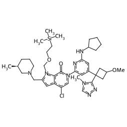 COC1CC(c2cc(NC3CCCC3)nc(-n3cc(Cl)c4cc(CN5CCC[C@H](C)C5)n(COCC[Si](C)(C)C)c4c3=O)c2)(c2nncn2C)C1